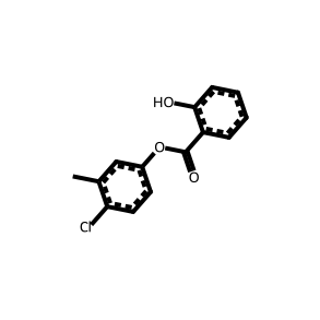 Cc1cc(OC(=O)c2ccccc2O)ccc1Cl